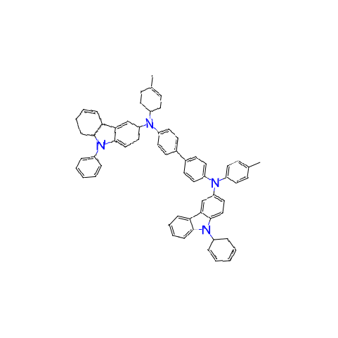 CC1=CCC(N(c2ccc(-c3ccc(N(c4ccc(C)cc4)c4ccc5c(c4)c4ccccc4n5C4C=CC=CC4)cc3)cc2)C2C=C3C(=CC2)N(c2ccccc2)C2CCC=CC32)CC1